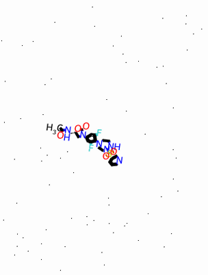 CC(=O)NC[C@H]1CN(c2cc(F)c(N3CCNN(S(=O)(=O)c4cccnc4)CC3)c(F)c2)C(=O)O1